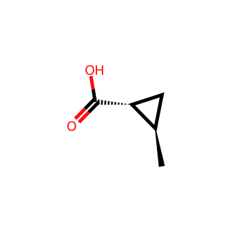 C[C@@H]1C[C@H]1C(=O)O